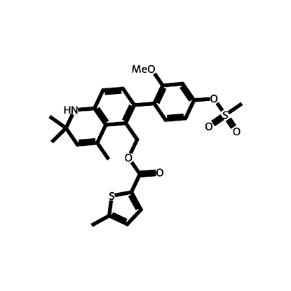 COc1cc(OS(C)(=O)=O)ccc1-c1ccc2c(c1COC(=O)c1ccc(C)s1)C(C)=CC(C)(C)N2